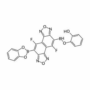 Oc1ccccc1OBc1c(F)c2c3nonc3c(B3Oc4ccccc4O3)c(F)c2c2nonc12